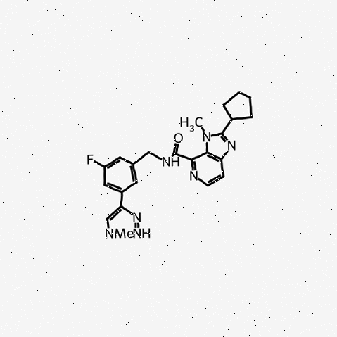 CN/C=C(\N=N)c1cc(F)cc(CNC(=O)c2nccc3nc(C4CCCC4)n(C)c23)c1